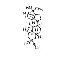 C#C[C@@]1(O)CC[C@@]2(C)[C@H](CC[C@@H]3[C@@H]2CC[C@]2(C)[C@@H](C(C)(C)O)CC[C@@H]32)C1